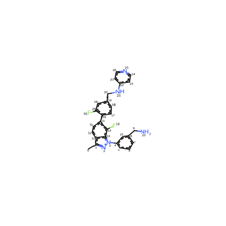 Cc1nn(-c2cccc(CN)c2)c2c(F)c(-c3ccc(CNc4ccncc4)cc3F)ccc12